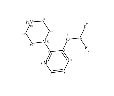 FC(F)Oc1cccnc1N1CCNCC1